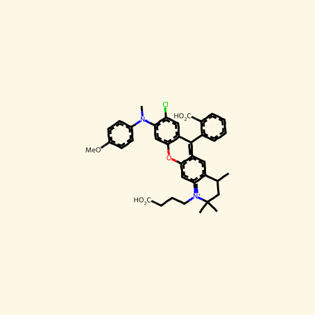 COc1ccc(N(C)c2cc3c(cc2Cl)C(c2ccccc2C(=O)O)=c2cc4c(cc2O3)=[N+](CCCC(=O)O)C(C)(C)CC4C)cc1